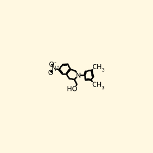 Cc1cc(C)cc(N2Cc3ccc([N+](=O)[O-])cc3CC2CO)c1